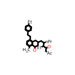 CCCC(CC1CC(=O)c2c(C)ccc(CCc3ccc(CC)cc3)c2C1)C(CC)C(=O)CC(C)=O